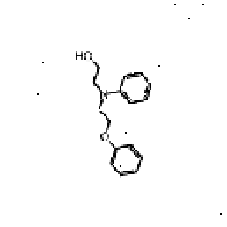 OCCN(CCOc1ccccc1)c1ccccc1